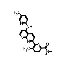 CN(C)C(=O)c1ccc(C(F)(F)F)c(-c2ccc3c(Nc4ccc(C(F)(F)F)cn4)ccnc3n2)n1